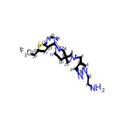 NCCn1cc(CN2CC3(CCN(c4ncnc5sc(CC(F)(F)F)cc45)C3)C2)cn1